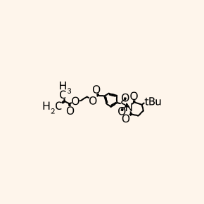 C=C(C)C(=O)OCCOC(=O)c1ccc(S(=O)(=O)N2C(=O)CCC(C(C)(C)C)C2=O)cc1